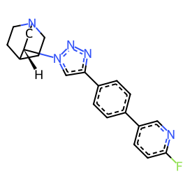 Fc1ccc(-c2ccc(-c3cn([C@H]4CN5CCC4CC5)nn3)cc2)cn1